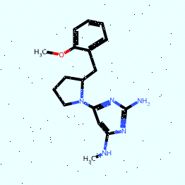 CNc1cc(N2CCCC2Cc2ccccc2OC)nc(N)n1